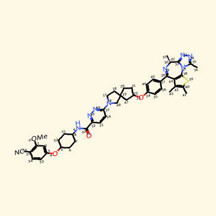 COc1cc(OC2CCC(NC(=O)c3ccc(N4CCC5(CCC(Oc6ccc(C7=N[C@@H](C)c8nnc(C)n8-c8sc(C)c(C)c87)cc6)C5)C4)nn3)CC2)ccc1C#N